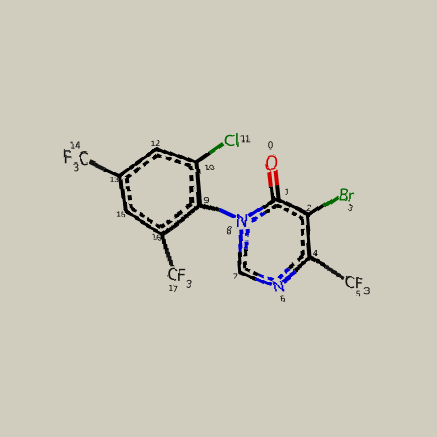 O=c1c(Br)c(C(F)(F)F)ncn1-c1c(Cl)cc(C(F)(F)F)cc1C(F)(F)F